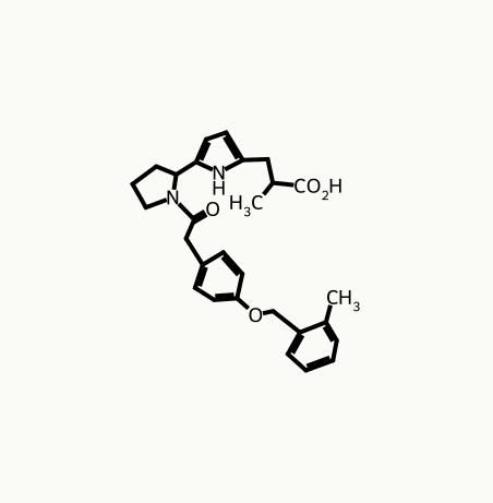 Cc1ccccc1COc1ccc(CC(=O)N2CCCC2c2ccc(CC(C)C(=O)O)[nH]2)cc1